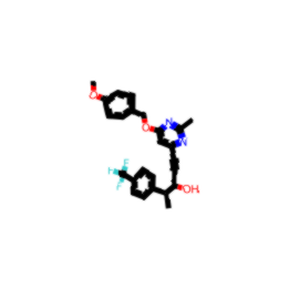 COc1ccc(COc2cc(C#CC(O)C(C)c3ccc(C(F)(F)F)cc3)nc(C)n2)cc1